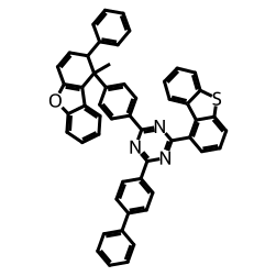 CC1(c2ccc(-c3nc(-c4ccc(-c5ccccc5)cc4)nc(-c4cccc5sc6ccccc6c45)n3)cc2)c2c(oc3ccccc23)C=CC1c1ccccc1